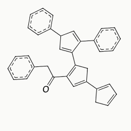 O=C(Cc1ccccc1)C1=C(C2=CC(c3ccccc3)C=C2c2ccccc2)CC(C2=CC=CC2)=C1